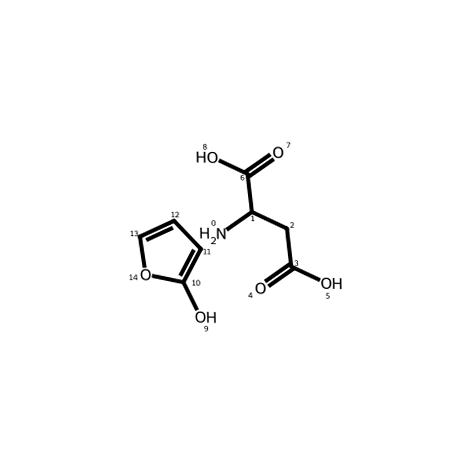 NC(CC(=O)O)C(=O)O.Oc1ccco1